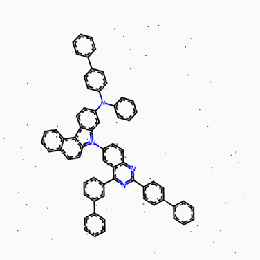 c1ccc(-c2ccc(-c3nc(-c4cccc(-c5ccccc5)c4)c4cc(-n5c6cc(N(c7ccccc7)c7ccc(-c8ccccc8)cc7)ccc6c6c7ccccc7ccc65)ccc4n3)cc2)cc1